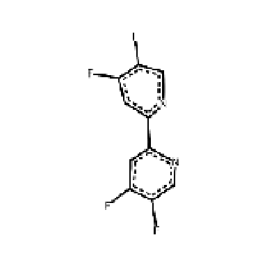 Fc1cnc(-c2cc(F)c(F)cn2)cc1F